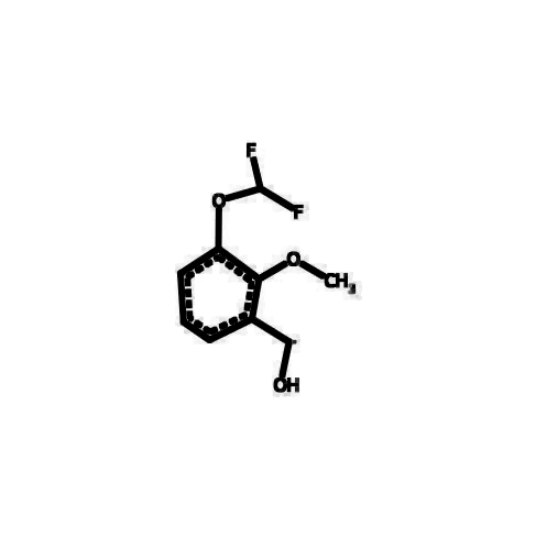 COc1c([CH]O)cccc1OC(F)F